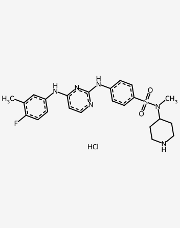 Cc1cc(Nc2ccnc(Nc3ccc(S(=O)(=O)N(C)C4CCNCC4)cc3)n2)ccc1F.Cl